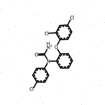 NC(=O)N(c1ccc(Cl)cc1)c1ccccc1Oc1ccc(Cl)cc1Cl